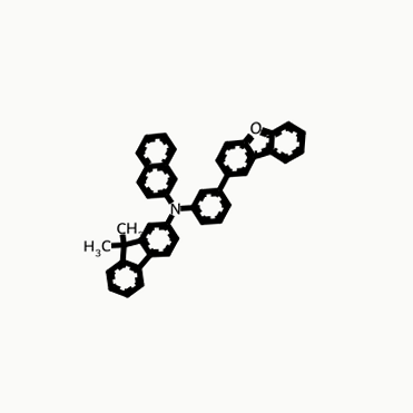 CC1(C)c2ccccc2-c2ccc(N(c3cccc(-c4ccc5oc6ccccc6c5c4)c3)c3ccc4ccccc4c3)cc21